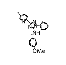 COc1ccc(CNc2nc(-c3ccc(C)cn3)nn2-c2ccccc2)cc1